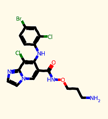 NCCCONC(=O)c1cn2ccnc2c(Cl)c1Nc1ccc(Br)cc1Cl